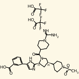 CS(=O)(=O)N1CCC([C@H]2C[C@@H](c3ncc(-c4cccc(C(=O)O)c4)[nH]3)N(C(=O)C3CCN(C(=N)N)CC3)C2)CC1.O=C(O)C(F)(F)F.O=C(O)C(F)(F)F